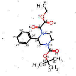 CCOC(=O)C(=O)N1CCN(C(=O)OC(C)(C)C)C[C@H]1c1ccccc1